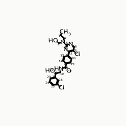 CCCN(CO)c1ncc(Cl)c(-c2ccc(C(=O)NCC(O)c3cccc(Cl)c3)cc2)n1